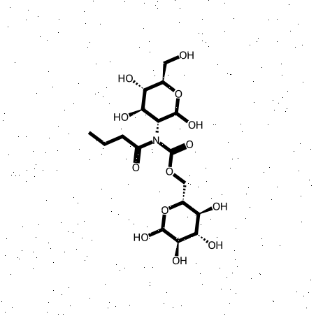 CCCC(=O)N(C(=O)OC[C@H]1OC(O)[C@H](O)[C@@H](O)[C@@H]1O)[C@H]1C(O)O[C@H](CO)[C@@H](O)[C@@H]1O